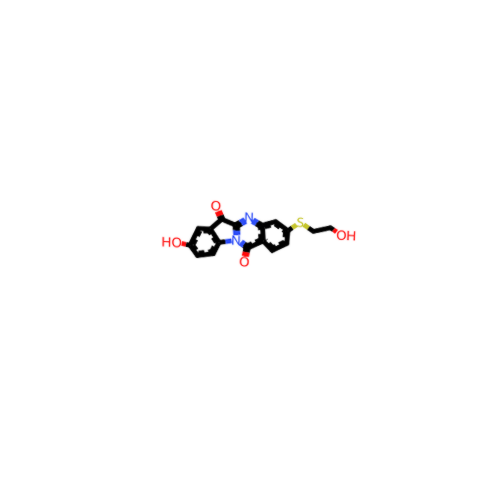 O=C1c2cc(O)ccc2-n2c1nc1cc(SCCO)ccc1c2=O